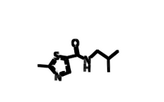 Cc1ncc(C(=O)NCC(C)C)s1